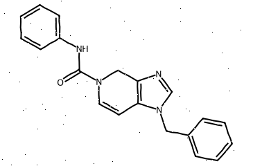 O=C(Nc1ccccc1)N1C=Cc2c(ncn2Cc2ccccc2)C1